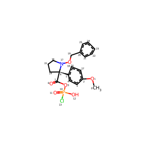 COc1ccc([C@@]2(C(=O)OP(=O)(O)Cl)CCCN2OCc2ccccc2)cc1